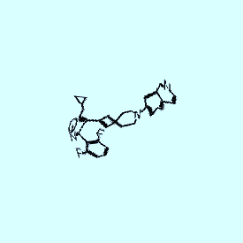 Fc1cccc(F)c1-c1noc(C2CC2)c1C1=CC2(CCN(c3ccc4ccncc4c3)CC2)C1